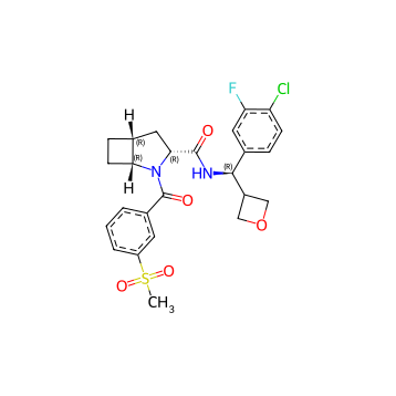 CS(=O)(=O)c1cccc(C(=O)N2[C@@H](C(=O)N[C@@H](c3ccc(Cl)c(F)c3)C3COC3)C[C@H]3CC[C@H]32)c1